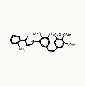 COc1cc(/C=C\c2cc(Cl)c(OC)c(N/C=C\C(=O)c3ccccc3N)c2)cc(OC)c1OC